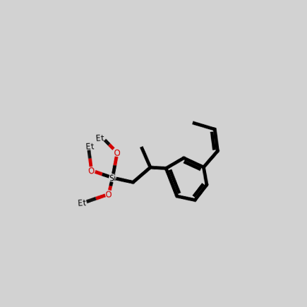 C/C=C\c1cccc(C(C)C[Si](OCC)(OCC)OCC)c1